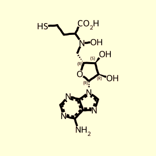 Nc1ncnc2c1ncn2[C@@H]1O[C@H](CN(O)C(CCS)C(=O)O)[C@@H](O)[C@H]1O